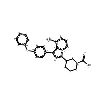 Nc1nccn2c(C3CCCN(C(=O)O)C3)nc(-c3ccc(Oc4ccccc4)cc3)c12